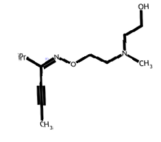 CC#C/C(=N\OCCN(C)CCO)C(C)C